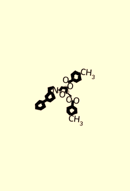 Cc1ccc(C(=O)OC[C@H]2O[C@H](n3ccc4cc(-c5ccccc5)ccc43)C[C@@H]2OC(=O)c2ccc(C)cc2)cc1